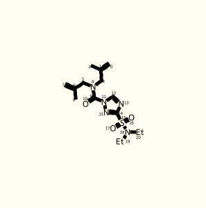 C=C(C)CN(CC(=C)C)C(=O)n1cnc(S(=O)(=O)N(CC)CC)n1